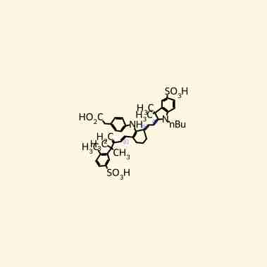 C=C(/C=C/C1=C(Nc2ccc(CC(=O)O)cc2)C(=C/C=C2/N(CCCC)c3ccc(S(=O)(=O)O)cc3C2(C)C)/CCC1)C(C)(C)c1cc(S(=O)(=O)O)ccc1C